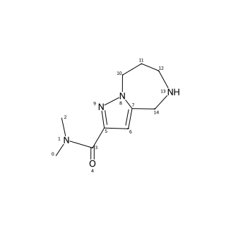 CN(C)C(=O)c1cc2n(n1)CCCNC2